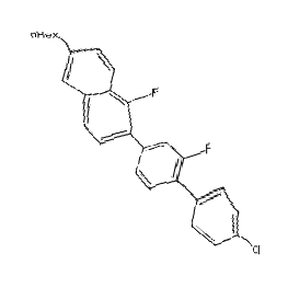 CCCCCCc1ccc2c(F)c(-c3ccc(-c4ccc(Cl)cc4)c(F)c3)ccc2c1